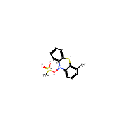 CCCc1cccc2c1Sc1ccccc1N2OS(=O)(=O)CCC